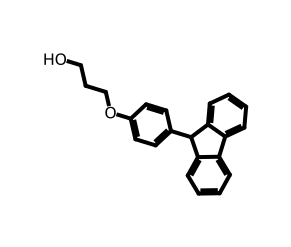 OCCCOc1ccc(C2c3ccccc3-c3ccccc32)cc1